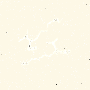 CN(C)[C@@H](CCCCN)C(=O)O.CNCCCC[C@@H](C(=O)O)N(C)C